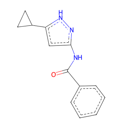 O=C(Nc1cc(C2CC2)[nH]n1)c1ccccc1